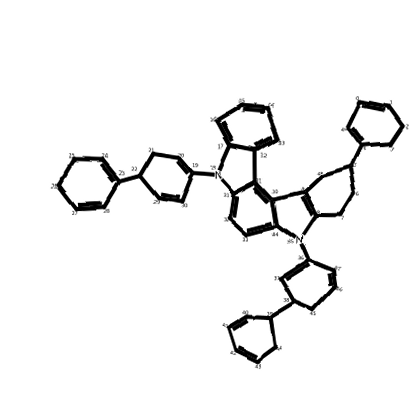 C1=CCCC(C2CCc3c(c4c5c6ccccc6n(C6=CCC(C7=CCCC=C7)C=C6)c5ccc4n3C3=CC(C4C=CC=CC4)CC=C3)C2)=C1